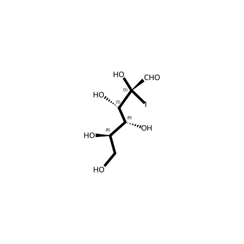 O=C[C@@](O)(I)[C@@H](O)[C@H](O)[C@H](O)CO